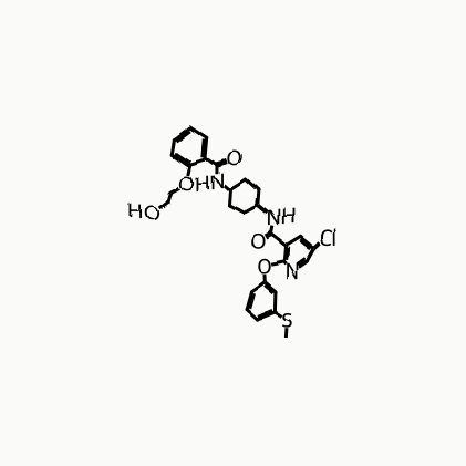 CSc1cccc(Oc2ncc(Cl)cc2C(=O)NC2CCC(NC(=O)c3ccccc3OCCO)CC2)c1